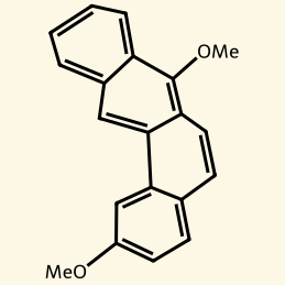 COc1ccc2ccc3c(OC)c4ccccc4cc3c2c1